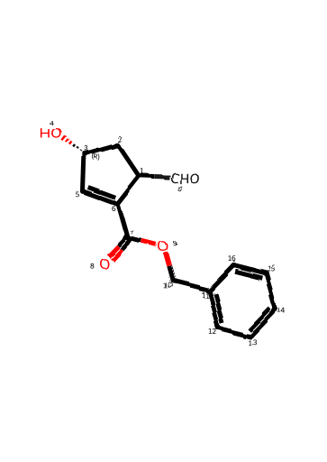 O=CC1C[C@@H](O)C=C1C(=O)OCc1ccccc1